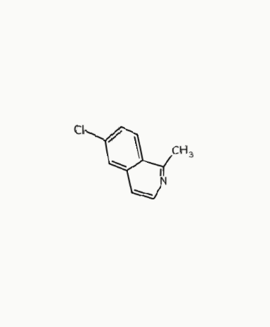 Cc1nccc2cc(Cl)ccc12